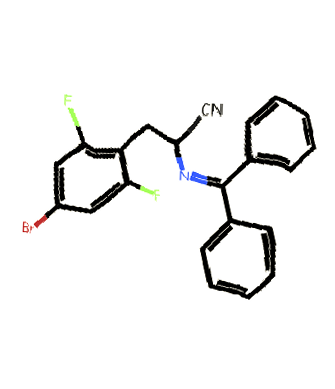 N#CC(Cc1c(F)cc(Br)cc1F)N=C(c1ccccc1)c1ccccc1